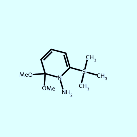 COC1(OC)C=CC=C([Si](C)(C)C)N1N